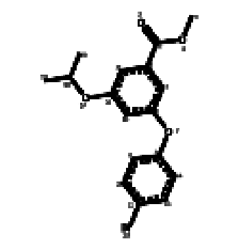 COC(=O)c1cc(Oc2ccc(Br)cc2)cc(OC(C)C)c1